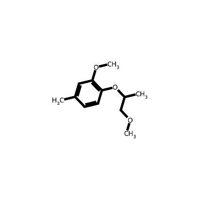 COCC(C)Oc1ccc(C)cc1OC